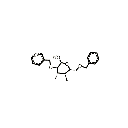 C[C@H]1[C@H](C)[C@@H](OCc2ccccc2)C(O)O[C@@H]1COCc1ccccc1